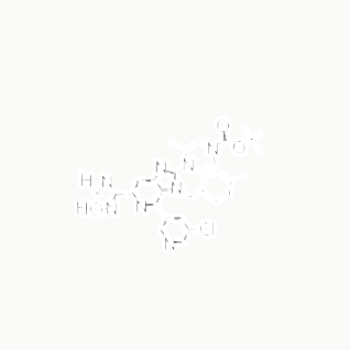 C[C@@H]1CN(C(=O)OC(C)(C)C)CCN1c1nc2cc(C(N)=NO)nc(-c3cncc(Cl)c3)c2n1C[C@H]1CC[C@H](C)CC1